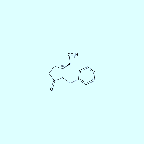 O=C(O)C[C@@H]1CCC(=O)N1Cc1ccccc1